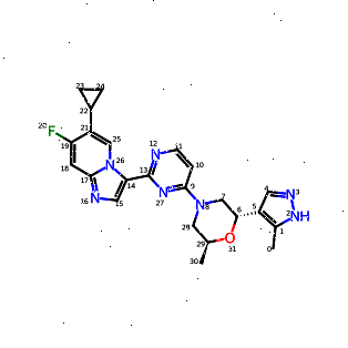 Cc1[nH]ncc1[C@H]1CN(c2ccnc(-c3cnc4cc(F)c(C5CC5)cn34)n2)C[C@H](C)O1